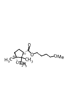 COCCCCOC(=O)[C@H]1CC[C@@](C)(C(=O)O)C1(C)C